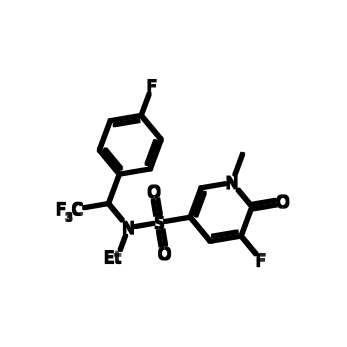 CCN(C(c1ccc(F)cc1)C(F)(F)F)S(=O)(=O)c1cc(F)c(=O)n(C)c1